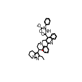 CCc1nn2c(c1C1CCN(Cc3c(-c4ccccc4)nc4ccccc4c3C(=O)NN(C(=O)OC)c3ccccc3)CC1)CCCC2